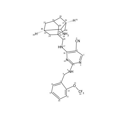 N#Cc1cnc(NCc2ccccc2OC(F)(F)F)nc1NCC12CC3C[C@H](C1)C(N)[C@@H](C3)C2